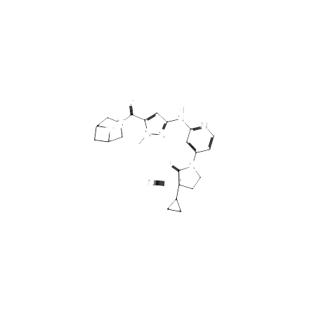 Cn1nc(Nc2cc(N3CC[C@@](C#N)(C4CC4)C3=O)ccn2)cc1C(=O)N1CC2CC(C1)O2